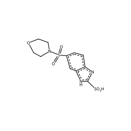 O=S(=O)(O)c1nc2ccc(S(=O)(=O)N3CCOCC3)cc2[nH]1